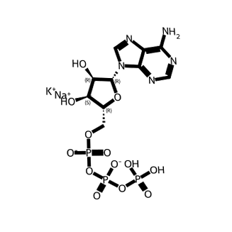 Nc1ncnc2c1ncn2[C@@H]1O[C@H](COP(=O)([O-])OP(=O)([O-])OP(=O)(O)O)[C@@H](O)[C@H]1O.[K+].[Na+]